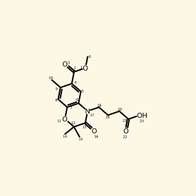 COC(=O)c1cc2c(cc1C)OC(C)(C)C(=O)N2CCCC(=O)O